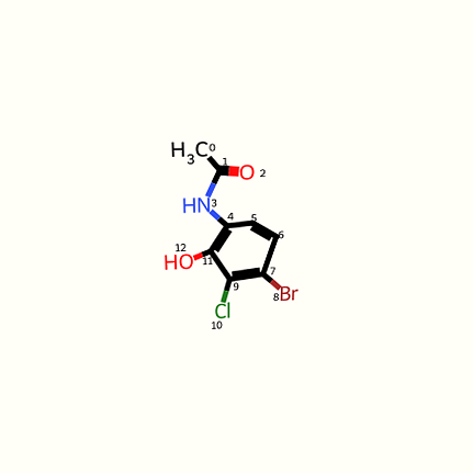 CC(=O)Nc1ccc(Br)c(Cl)c1O